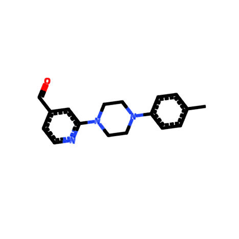 Cc1ccc(N2CCN(c3cc(C=O)ccn3)CC2)cc1